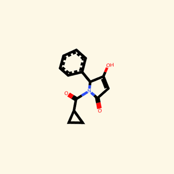 O=C1C=C(O)C(c2ccccc2)N1C(=O)C1CC1